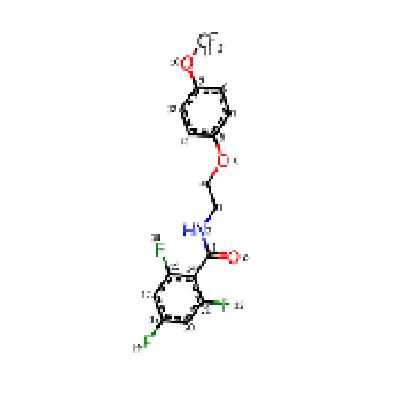 O=C(NCCOc1ccc(OC(F)(F)F)cc1)c1c(F)cc(F)cc1F